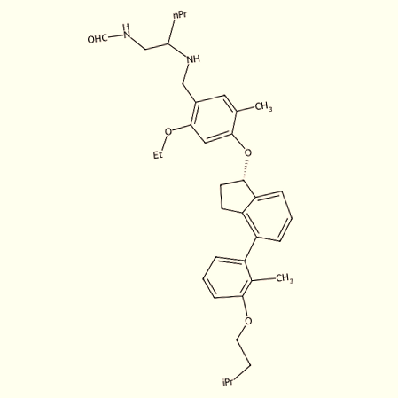 CCCC(CNC=O)NCc1cc(C)c(O[C@H]2CCc3c(-c4cccc(OCCC(C)C)c4C)cccc32)cc1OCC